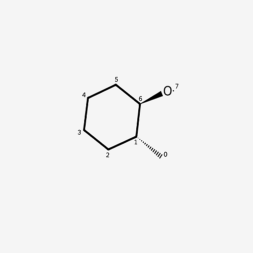 C[C@@H]1CCCC[C@H]1[O]